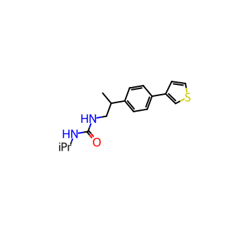 CC(C)NC(=O)NCC(C)c1ccc(-c2ccsc2)cc1